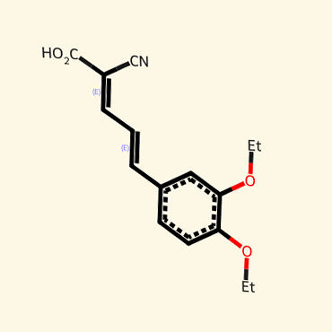 CCOc1ccc(/C=C/C=C(\C#N)C(=O)O)cc1OCC